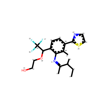 CCC(C)/C(C)=N\c1c(C(OCCO)C(F)(F)F)ccc(-c2nccs2)c1C